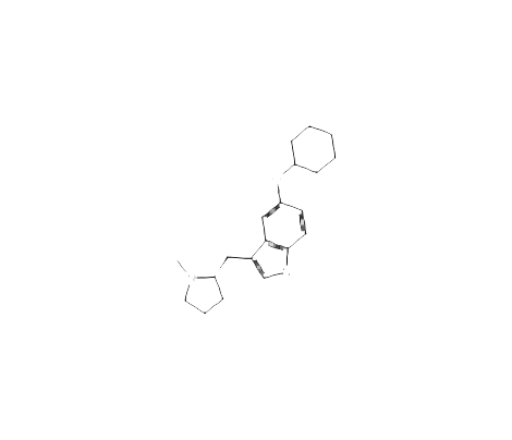 CN1CCC[C@@H]1Cc1c[nH]c2ccc(OC3CCCCC3)cc12